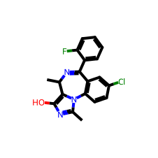 Cc1nc(O)c2n1-c1ccc(Cl)cc1C(c1ccccc1F)=NC2C